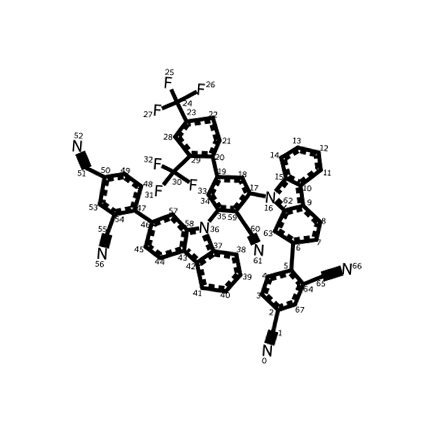 N#Cc1ccc(-c2ccc3c4ccccc4n(-c4cc(-c5ccc(C(F)(F)F)cc5C(F)(F)F)cc(-n5c6ccccc6c6ccc(-c7ccc(C#N)cc7C#N)cc65)c4C#N)c3c2)c(C#N)c1